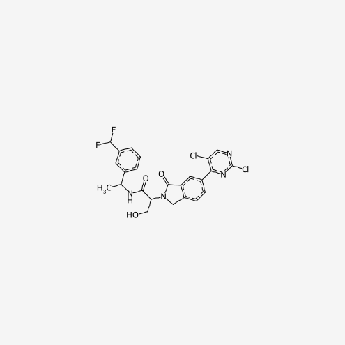 CC(NC(=O)C(CO)N1Cc2ccc(-c3nc(Cl)ncc3Cl)cc2C1=O)c1cccc(C(F)F)c1